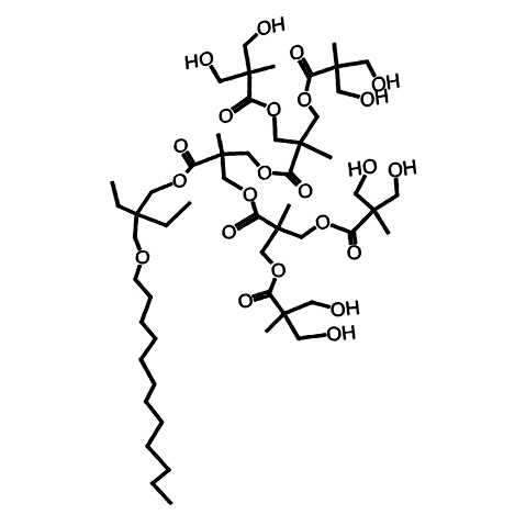 CCCCCCCCCCCCOCC(CC)(CC)COC(=O)C(C)(COC(=O)C(C)(COC(=O)C(C)(CO)CO)COC(=O)C(C)(CO)CO)COC(=O)C(C)(COC(=O)C(C)(CO)CO)COC(=O)C(C)(CO)CO